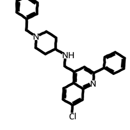 Clc1ccc2c(CNC3CCN(Cc4ccccc4)CC3)cc(-c3ccccc3)nc2c1